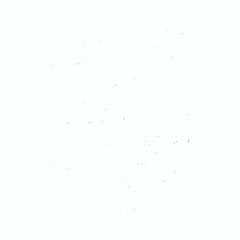 CC1(C)c2c(ccc3c4ccccc4c4ccccc4c23)-c2c1c1c3cc(N(c4cccc(-c5ccccc5-c5ccccc5)c4)c4cc5cccc6ccc7cccc4c7c65)ccc3n(-c3ccc4ccc5cccnc5c4n3)c1c1ccccc21